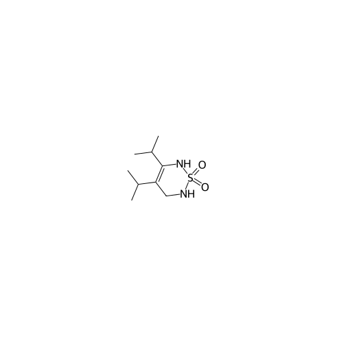 CC(C)C1=C(C(C)C)NS(=O)(=O)NC1